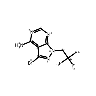 Nc1ncnc2c1c(Br)nn2CC(F)(F)F